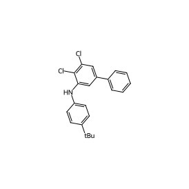 CC(C)(C)c1ccc(Nc2cc(-c3ccccc3)cc(Cl)c2Cl)cc1